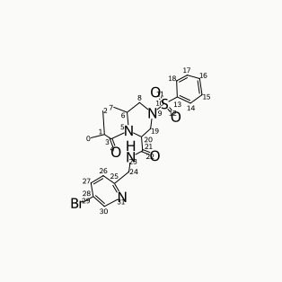 CC(C)C(=O)N1C(C)CN(S(=O)(=O)c2ccccc2)CC1C(=O)NCc1ccc(Br)cn1